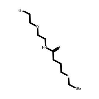 CC(C)(C)CCOCCNC(=O)CCCSCC(C)(C)C